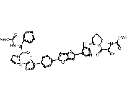 COC(=O)NC(C(=O)N1CCC[C@H]1c1ncc(-c2cc3oc(-c4ccc(-c5cnc([C@@H]6C=CCN6C(=O)[C@H](NC(=O)OC)c6ccccc6)[nH]5)cc4)cc3s2)[nH]1)C(C)C